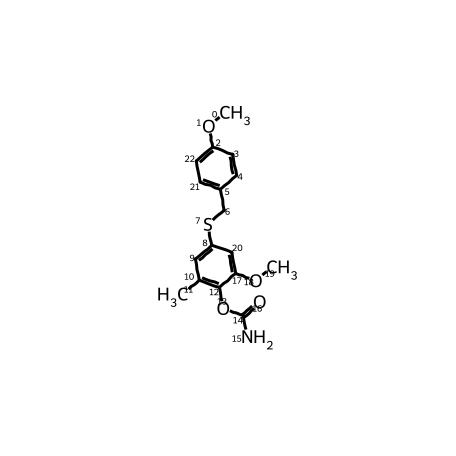 COc1ccc(CSc2cc(C)c(OC(N)=O)c(OC)c2)cc1